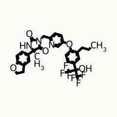 CCCc1cc(C(O)(C(F)(F)F)C(F)(F)F)ccc1Oc1ccc(CN2C(=O)NC(C)(c3ccc4c(c3)CCO4)C2=O)nc1